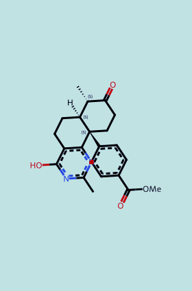 COC(=O)c1ccc([C@]23CCC(=O)[C@@H](C)[C@@H]2CCc2c(O)nc(C)nc23)cc1